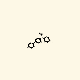 C=CC(=O)N(c1ccc(Br)cc1)c1ccc(-c2ccc(F)cc2)cc1C#N